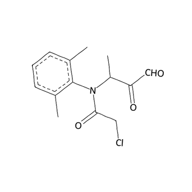 Cc1cccc(C)c1N(C(=O)CCl)C(C)C(=O)C=O